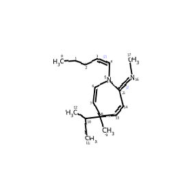 CCC/C=C\N1C=CC(C)(C(C)C)C=C/C1=N/C